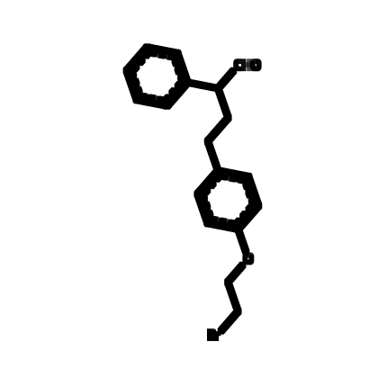 O=CC(CCc1ccc(OCCBr)cc1)c1ccccc1